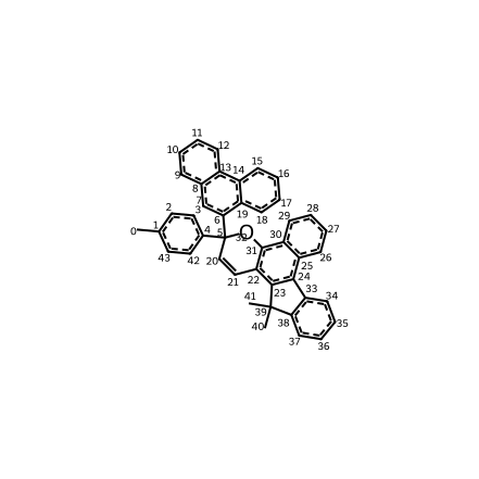 Cc1ccc(C2(c3cc4ccccc4c4ccccc34)C=Cc3c4c(c5ccccc5c3O2)-c2ccccc2C4(C)C)cc1